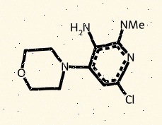 CNc1nc(Cl)cc(N2CCOCC2)c1N